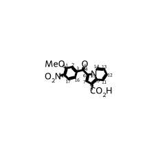 COc1cc(C(=O)c2cc(C(=O)O)c3ccccn23)ccc1[N+](=O)[O-]